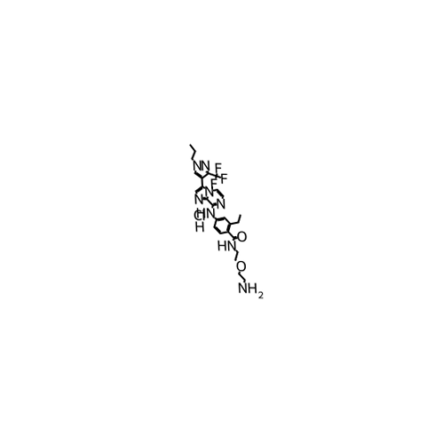 CCCn1cc(-c2cnc3c(Nc4ccc(C(=O)NCCOCCN)c(CC)c4)nccn23)c(C(F)(F)F)n1.Cl